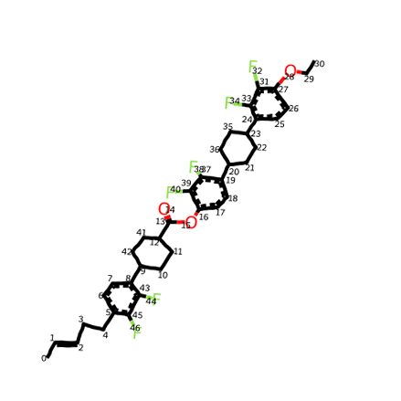 C/C=C/CCc1ccc(C2CCC(C(=O)Oc3ccc(C4CCC(c5ccc(OCC)c(F)c5F)CC4)c(F)c3F)CC2)c(F)c1F